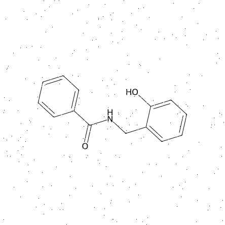 O=C(NCc1ccccc1O)c1ccccc1